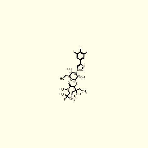 CCC(O)(CC)[C@H](S[C@@H]1O[C@H](CO)[C@H](O)[C@H](n2cc(-c3cc(F)c(F)c(F)c3)nn2)[C@H]1O)C(=O)N(C)CC(C)(C)F